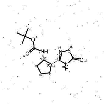 CC(C)(C)OC(=O)N[C@H]1CCC[C@H]1c1nsc(=O)[nH]1